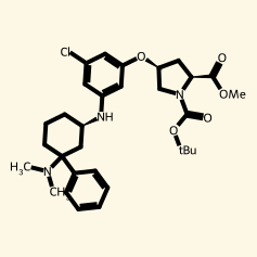 COC(=O)[C@@H]1C[C@H](Oc2cc(Cl)cc(N[C@@H]3CCCC(c4ccccc4)(N(C)C)C3)c2)CN1C(=O)OC(C)(C)C